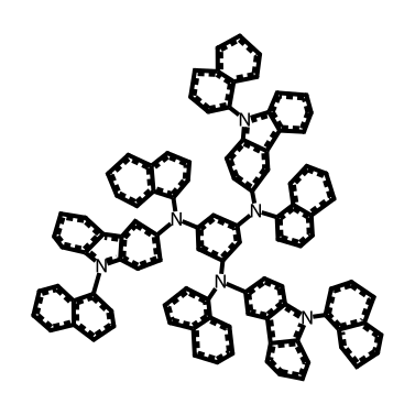 c1ccc2c(N(c3cc(N(c4ccc5c(c4)c4ccccc4n5-c4cccc5ccccc45)c4cccc5ccccc45)cc(N(c4ccc5c(c4)c4ccccc4n5-c4cccc5ccccc45)c4cccc5ccccc45)c3)c3ccc4c(c3)c3ccccc3n4-c3cccc4ccccc34)cccc2c1